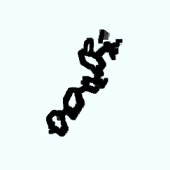 FC(F)(F)C1CN(c2ncc(-c3ccc(N4CCSCC4)cc3)s2)CCO1